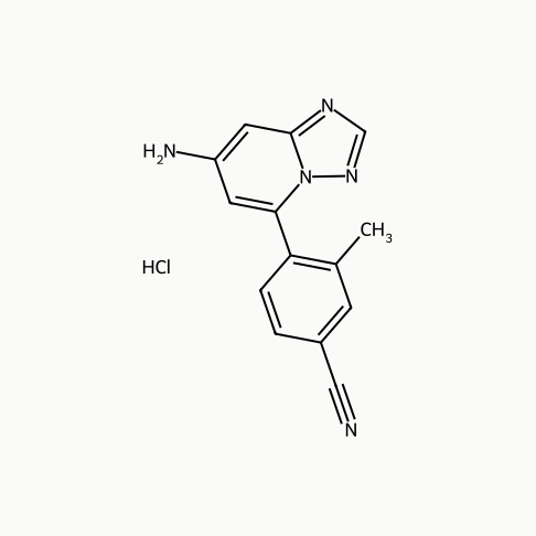 Cc1cc(C#N)ccc1-c1cc(N)cc2ncnn12.Cl